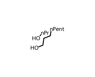 CCCCCCCCO.CCCO